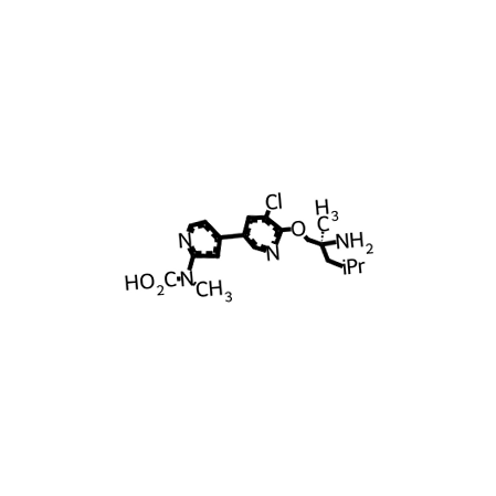 CC(C)C[C@](C)(N)COc1ncc(-c2ccnc(N(C)C(=O)O)c2)cc1Cl